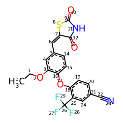 CCOc1cc(/C=C2/SC(=O)NC2=O)ccc1Oc1ccc(C#N)cc1C(F)(F)F